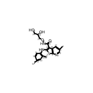 Cc1cnc2sc(Nc3ccc(I)cc3F)c(C(=O)NOC[C@H](O)CO)c2c1